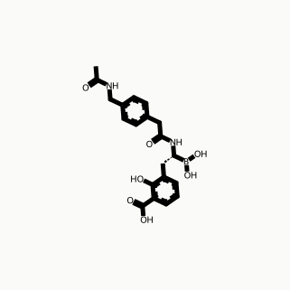 CC(=O)NCc1ccc(CC(=O)N[C@@H](Cc2cccc(C(=O)O)c2O)B(O)O)cc1